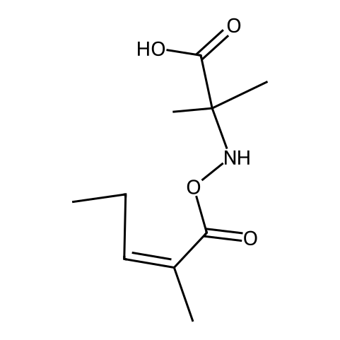 CCC=C(C)C(=O)ONC(C)(C)C(=O)O